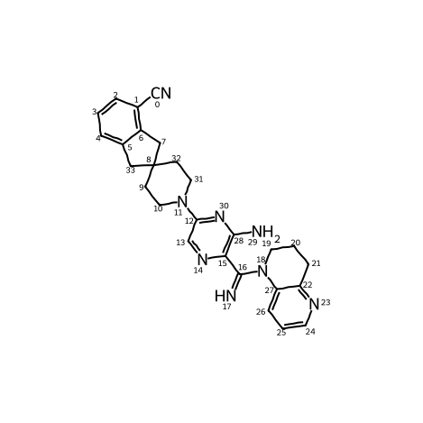 N#Cc1cccc2c1CC1(CCN(c3cnc(C(=N)N4CCCc5ncccc54)c(N)n3)CC1)C2